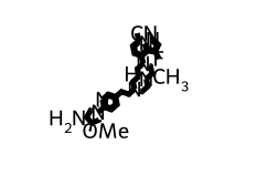 CO[C@@H]1CN(c2ccc(CCN3CCN4[C@@H](C3)CN(c3ccc(C#N)n5ncc(F)c35)C[C@H]4C)cn2)C[C@H]1N